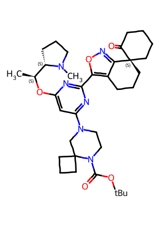 C[C@H](Oc1cc(N2CCN(C(=O)OC(C)(C)C)C3(CCC3)C2)nc(-c2onc3c2CCC[C@@]32CCCCC2=O)n1)[C@@H]1CCCN1C